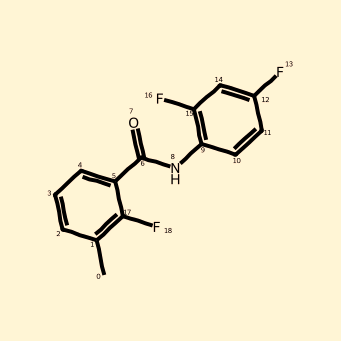 Cc1cccc(C(=O)Nc2ccc(F)cc2F)c1F